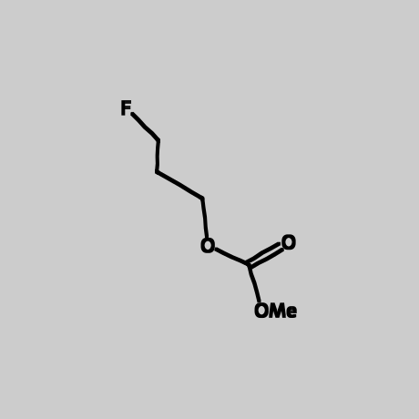 COC(=O)OCCCF